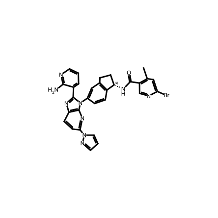 Cc1cc(Br)ncc1C(=O)N[C@H]1CCc2cc(-n3c(-c4cccnc4N)nc4ccc(-n5cccn5)nc43)ccc21